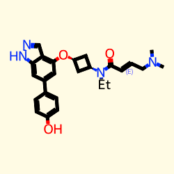 CCN(C(=O)/C=C/CN(C)C)[C@H]1C[C@@H](Oc2cc(-c3ccc(O)cc3)cc3[nH]ncc23)C1